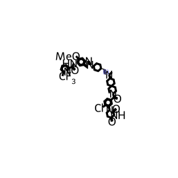 COc1cc2nn([C@H]3CC[C@H](/C=C/N(C)C4CCC5(CC4)CCN(C(=O)c4ccc(Cl)c(N6CCC(=O)NC6=O)c4)CC5)CC3)cc2cc1NC(=O)c1cccc(C(F)(F)F)n1